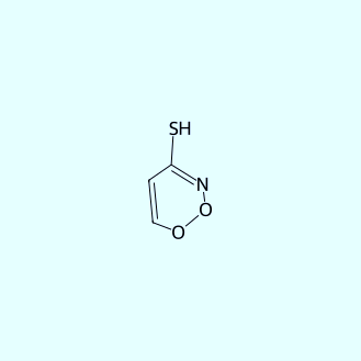 SC1=NOOC=C1